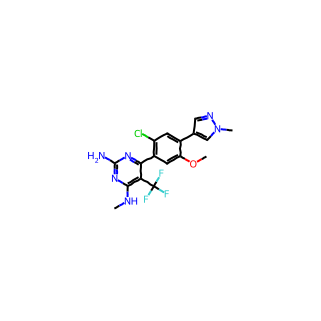 CNc1nc(N)nc(-c2cc(OC)c(-c3cnn(C)c3)cc2Cl)c1C(F)(F)F